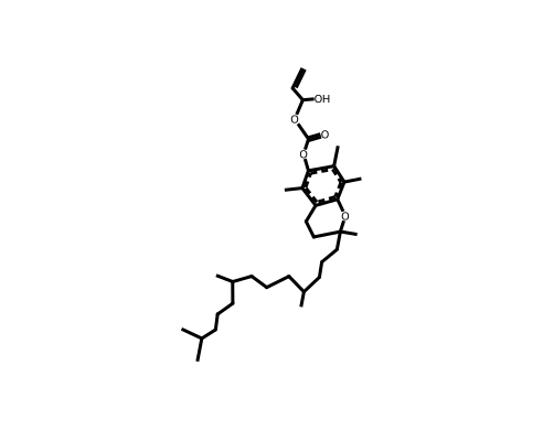 C=CC(O)OC(=O)Oc1c(C)c(C)c2c(c1C)CCC(C)(CCCC(C)CCCC(C)CCCC(C)C)O2